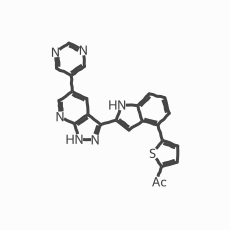 CC(=O)c1ccc(-c2cccc3[nH]c(-c4n[nH]c5ncc(-c6cncnc6)cc45)cc23)s1